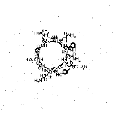 CC[C@@H](NC(=O)CN)C(=O)N[C@@H]1Cc2cn(nn2)CCC[C@@H](C(=O)N[C@H](Cc2ccc(O)cc2)C(=O)N(C)CC(=O)O)NC(=O)[C@H](CCC(N)=O)NC(=O)[C@@H](Cc2c[nH]c3ccccc23)NC(=O)[C@H](CCCNC(N)=O)NC(=O)[C@@H](CS)NC(=O)[C@H](CCCNC(=N)N)NC(=O)C2CCCN2C(=O)[C@H](CC(=O)O)NC(=O)[C@@H]([C@H](C)O)NC1=O